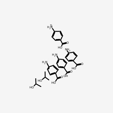 CC(C)O.CC(C)O.Nc1ccc(C(=O)O)cc1.Nc1ccc(C(=O)O)cc1.Nc1ccc(C(=O)O)cc1.Nc1ccc(C(=O)O)cc1.[Ti]